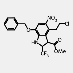 COC(=O)C1c2c(CCCl)c([N+](=O)[O-])cc(OCc3ccccc3)c2NC1C(F)(F)F